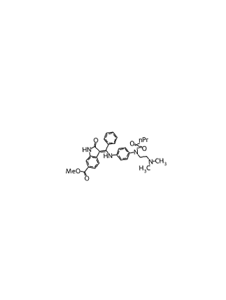 CCCS(=O)(=O)N(CCN(C)C)c1ccc(NC(=C2C(=O)Nc3cc(C(=O)OC)ccc32)c2ccccc2)cc1